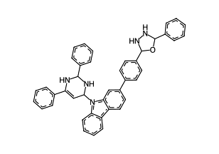 C1=C(c2ccccc2)NC(c2ccccc2)NC1n1c2ccccc2c2ccc(-c3ccc(C4NNC(c5ccccc5)O4)cc3)cc21